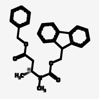 C[C@H](CC(=O)OCc1ccccc1)N(C)C(=O)OCC1c2ccccc2-c2ccccc21